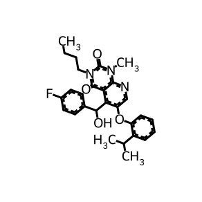 CCCCn1c(=O)c2c(C(O)c3ccc(F)cc3)c(Oc3ccccc3C(C)C)cnc2n(C)c1=O